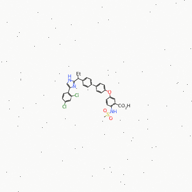 CCC(c1ccc(-c2ccc(Oc3ccc(NS(C)(=O)=O)c(C(=O)O)c3)cc2)cc1)c1nc(-c2ccc(Cl)cc2Cl)c[nH]1